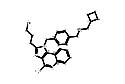 CCCCc1nc2c(N)nc3ccccc3c2n1Cc1ccc(CNCC2CCC2)cc1